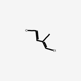 CC/C=C(C)/C=C/[O]